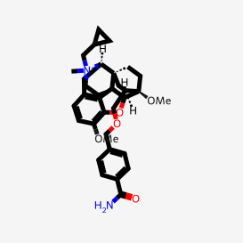 COc1ccc2c3c1O[C@H]1[C@@]4(OC)CC[C@@]5(C[C@@H]4COCc4ccc(C(N)=O)cc4)[C@@H](C2)[N+](C)(CC2CC2)CC[C@]315